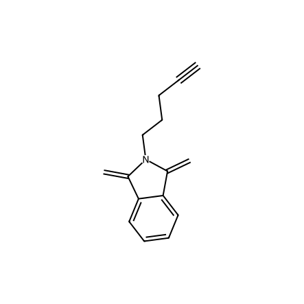 C#CCCCn1c(=C)c2ccccc2c1=C